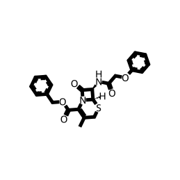 CC1=C(C(=O)OCc2ccccc2)N2C(=O)[C@@H](NC(=O)COc3ccccc3)[C@H]2SC1